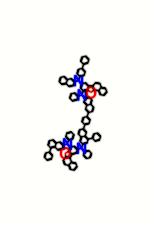 c1ccc(-c2ccc(N(c3ccc4ccccc4c3)c3cc(N(c4ccccc4)c4ccc5ccc(-c6ccc(-c7ccc8cc(N(c9ccccc9)c9cc(N(c%10ccccc%10)c%10ccc%11c(-c%12ccccc%12)cccc%11c%10)c%10oc%11ccc%12ccccc%12c%11c%10c9)cc(-c9ccccc9)c8c7)cc6)cc5c4)c4oc5c6ccccc6ccc5c4c3)cc2)cc1